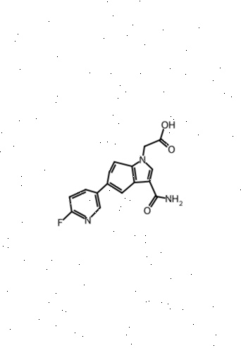 NC(=O)c1cn(CC(=O)O)c2ccc(-c3ccc(F)nc3)cc12